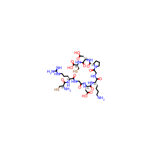 N=C(N)NCCC[C@H](NC(=O)[C@@H](N)CS)C(=O)NCC(=O)N[C@@H](CC(=O)O)C(=O)N[C@@H](CCCCN)C(=O)NCC(=O)N1CCC[C@H]1C(=O)N[C@@H](CC(=O)O)C(=O)N[C@@H](CS)C(=O)O